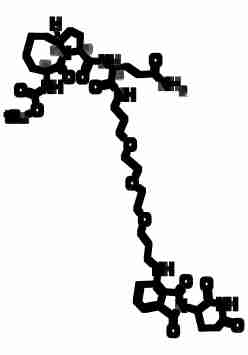 CC(C)(C)OC(=O)N[C@H]1CCCC[C@H]2CC[C@@H](C(=O)N[C@@H](CCC(N)=O)C(=O)NCCCOCCOCCOCCCNc3cccc4c3C(=O)N(C3CCC(=O)NC3=O)C4=O)N2C1=O